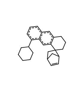 C1=CC2CC1CC21CCCc2cc3cccc(C4CCCCC4)c3cc21